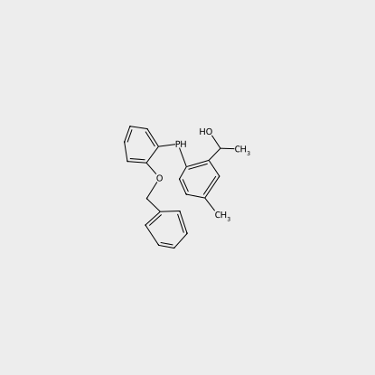 Cc1ccc(Pc2ccccc2OCc2ccccc2)c(C(C)O)c1